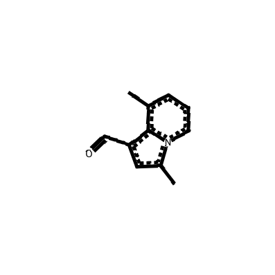 Cc1cccn2c(C)cc(C=O)c12